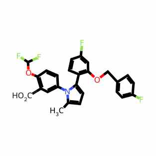 Cc1ccc(-c2ccc(F)cc2OCc2ccc(F)cc2)n1-c1ccc(OC(F)F)c(C(=O)O)c1